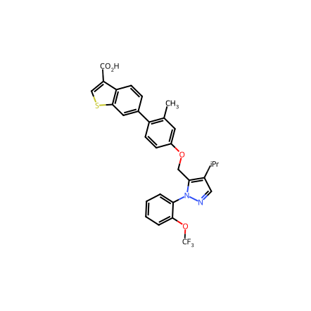 Cc1cc(OCc2c(C(C)C)cnn2-c2ccccc2OC(F)(F)F)ccc1-c1ccc2c(C(=O)O)csc2c1